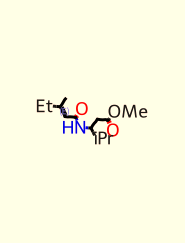 CC/C(C)=C/C(=O)NC(CC(=O)OC)C(C)C